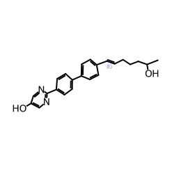 CC(O)CCC/C=C/c1ccc(-c2ccc(-c3ncc(O)cn3)cc2)cc1